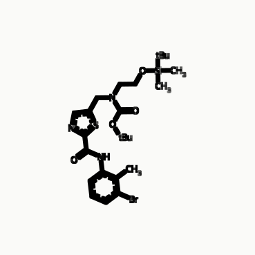 Cc1c(Br)cccc1NC(=O)c1ncc(CN(CCO[Si](C)(C)C(C)(C)C)C(=O)OC(C)(C)C)s1